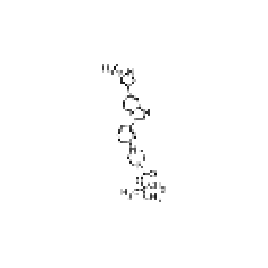 Cn1cc(-c2ccn3c(-c4cccc(N5CCN(C(=O)OC(C)(C)C)CC5)n4)cnc3c2)cn1